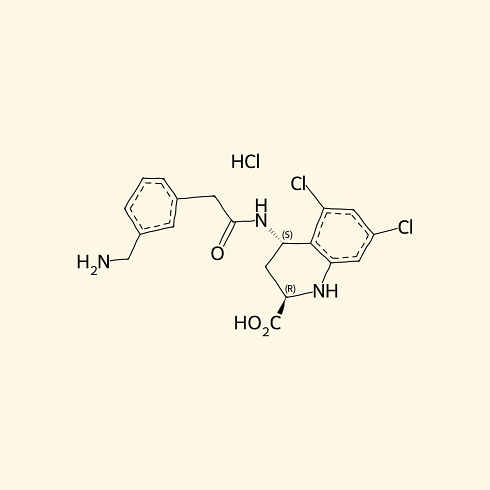 Cl.NCc1cccc(CC(=O)N[C@H]2C[C@H](C(=O)O)Nc3cc(Cl)cc(Cl)c32)c1